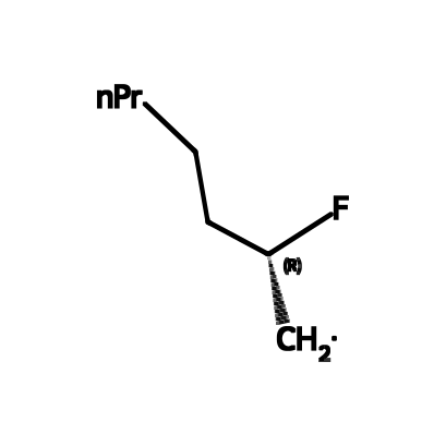 [CH2][C@@H](F)CCCCC